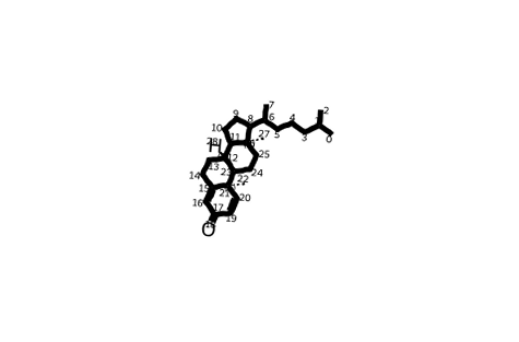 CC(C)CCCC(C)C1CCC2[C@@H]3CCC4=CC(=O)C=C[C@]4(C)C3CC[C@]12C